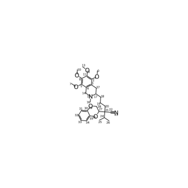 COc1c2c(c(OC)c(OC)c1OC)CN(C)C(CCCC(C#N)(C(C)C)C1COc3ccccc3O1)C2